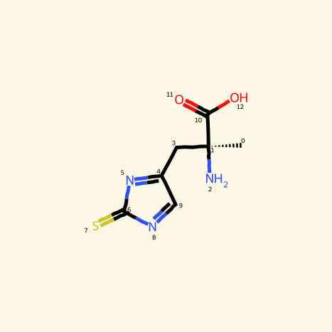 C[C@](N)(CC1=NC(=S)N=C1)C(=O)O